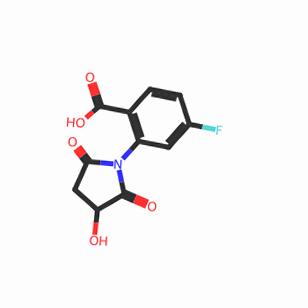 O=C(O)c1ccc(F)cc1N1C(=O)CC(O)C1=O